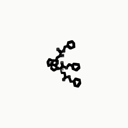 O=C(CC[C@@H](C(=O)OCc1ccccc1)N1CC[C@]2(CCCN2C(=O)CNC(=O)OCc2ccccc2)C1=O)OCc1ccccc1